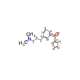 CN(C)CCCc1cccc([S+]([O-])c2cccs2)c1